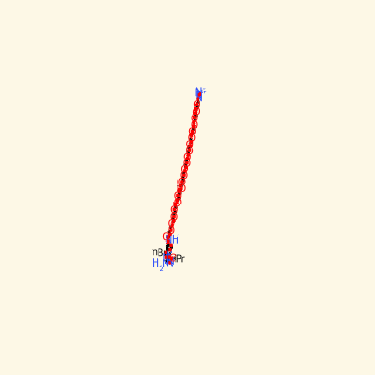 CCCCc1nc2c(N)nnc(OC(C)C)c2n1C[C@H]1CC[C@H](CNC(=O)C=COCCOCCOCCOCCOCCOCCOCCOCCOCCOCCOCCOCCOCCOCCOCCOCCOCCOCCOCCOCCN=[N+]=[N-])CC1